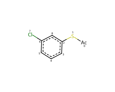 CC(=O)Sc1cccc(Cl)c1